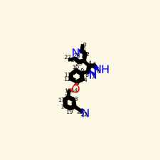 Cc1cc(-c2c[nH]nc2-c2cccc(OCc3cccc(C#N)c3)c2)cc(C)n1